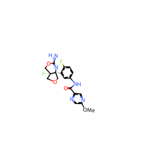 COc1cnc(C(=O)Nc2ccc(F)c([C@]34COC[C@@]3(F)COC(N)=N4)c2)cn1